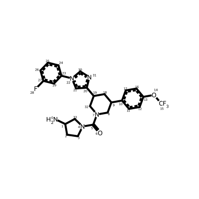 NC1CCN(C(=O)N2CC(c3ccc(OC(F)(F)F)cc3)CC(c3cn(-c4cccc(F)c4)cn3)C2)C1